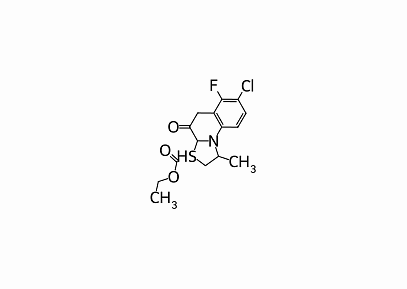 CCOC(=O)[SH]1CC(C)N2c3ccc(Cl)c(F)c3CC(=O)C21